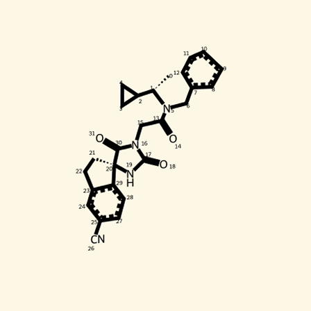 C[C@@H](C1CC1)N(Cc1ccccc1)C(=O)CN1C(=O)N[C@]2(CCc3cc(C#N)ccc32)C1=O